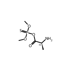 COP(=S)(OC)OC(=O)[C@H](C)N